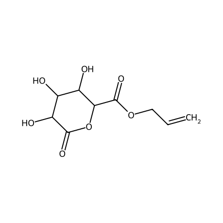 C=CCOC(=O)C1OC(=O)C(O)C(O)C1O